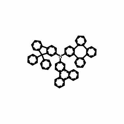 c1ccc(C2(c3ccccc3)c3ccccc3-c3ccc(N(c4ccc5c(c4)-c4ccccc4-c4ccccc4-c4ccccc4-5)c4ccc5c6ccccc6c6ccccc6c5c4)cc32)cc1